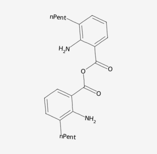 CCCCCc1cccc(C(=O)OC(=O)c2cccc(CCCCC)c2N)c1N